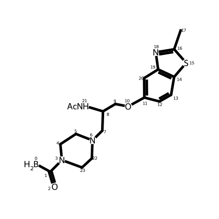 BC(=O)N1CCN(CC(COc2ccc3sc(C)nc3c2)NC(C)=O)CC1